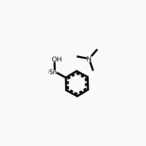 CN(C)C.[OH][Sn][c]1ccccc1